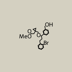 COC(=O)CC1(COC(CCc2ccccc2Br)c2cccc(CO)c2)CC1